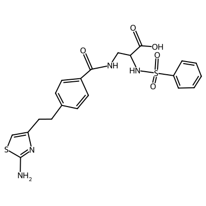 Nc1nc(CCc2ccc(C(=O)NCC(NS(=O)(=O)c3ccccc3)C(=O)O)cc2)cs1